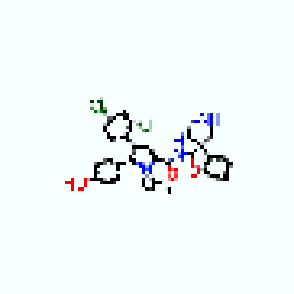 Cn1c(C(=O)NC(=O)C2(c3ccccc3)CCNCC2)cc(-c2ccc(Cl)cc2Cl)c1-c1ccc(O)cc1